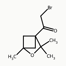 CC12CC(C(=O)CBr)(C1)C(C)(C)O2